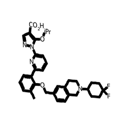 Cc1cccc(-c2cccc(-n3ncc(C(=O)O)c3OC(C)C)n2)c1OCc1ccc2c(c1)CCN(C1CCC(F)(F)CC1)C2